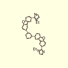 CCn1ccnc1-c1ccc2oc3ccc(-c4cccc(-c5ccc6oc7ccc(-c8nccn8CC)cc7c6c5)c4)cc3c2c1